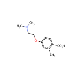 Cc1cc(OCCN(C)C)ccc1C(=O)O